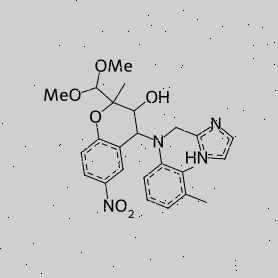 COC(OC)C1(C)Oc2ccc([N+](=O)[O-])cc2C(N(Cc2ncc[nH]2)c2cccc(C)c2C)C1O